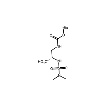 CN(C)S(=O)(=O)N[C@@H](CNC(=O)OC(C)(C)C)C(=O)O